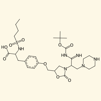 CCCCS(=O)(=O)NC(Cc1ccc(OCC2CN(C(CN3CCNCC3)C(=N)NC(=O)OC(C)(C)C)C(=O)O2)cc1)C(=O)O